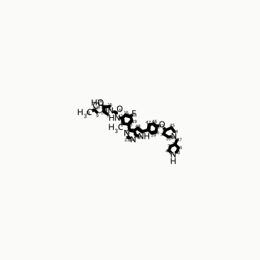 Cc1c(NC(=O)N2C[C@H](CC(C)C)[C@@H](O)C2)cc(F)cc1-c1ncnc2[nH]c(-c3ccc(OC4CCN(CC5CCNCC5)CC4)cc3)cc12